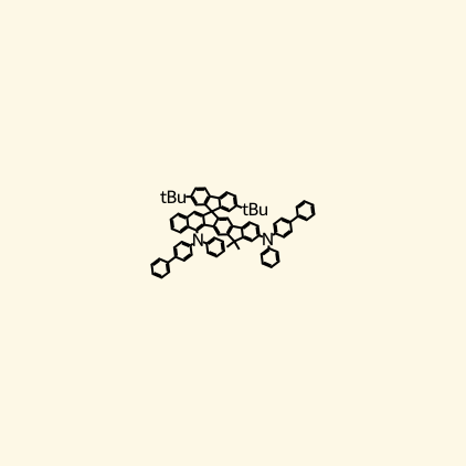 CC(C)(C)c1ccc2c(c1)C1(c3cc(C(C)(C)C)ccc3-2)c2cc3c(cc2-c2c1cc1ccccc1c2N(c1ccccc1)c1ccc(-c2ccccc2)cc1)C(C)(C)c1cc(N(c2ccccc2)c2ccc(-c4ccccc4)cc2)ccc1-3